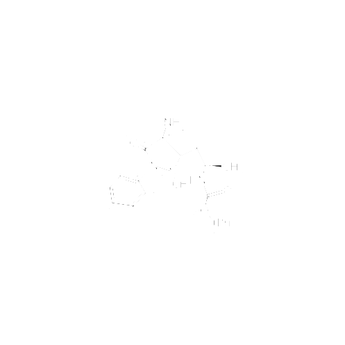 C[C@H](CC1C(N)C(=O)N(c2ccccc2)N1C)NC(=O)OC(C)(C)C